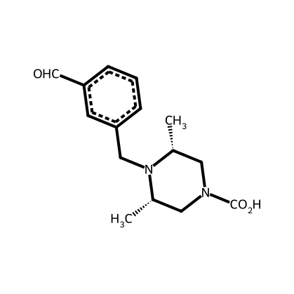 C[C@@H]1CN(C(=O)O)C[C@H](C)N1Cc1cccc(C=O)c1